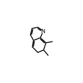 CC1=c2ncccc2=CCC1C